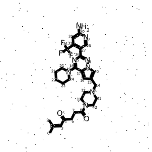 CC(C)=CC(=O)CCC(=O)N1CCN(Cc2cc3c(N4CCCCC4)nc(-c4cnc(N)cc4C(F)(F)F)nn3c2)CC1